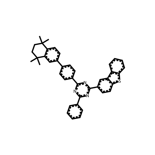 CC1(C)CCC(C)(C)c2cc(-c3ccc(-c4nc(-c5ccccc5)nc(-c5ccc6sc7ccccc7c6c5)n4)cc3)ccc21